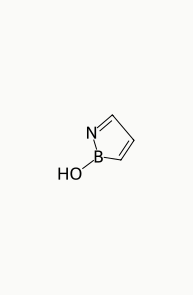 OB1C=CC=N1